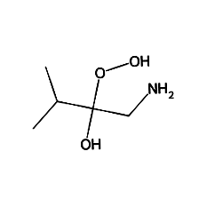 CC(C)C(O)(CN)OO